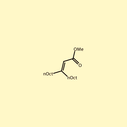 CCCCCCCCC(=CC(=O)OC)CCCCCCCC